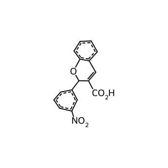 O=C(O)C1=Cc2ccccc2OC1c1cccc([N+](=O)[O-])c1